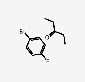 CCC(=O)CC.Fc1ccc(Br)cc1